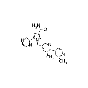 Cc1cc(-c2ncc(Cn3nc(C(N)=O)cc3-c3cnccn3)cc2C)ccn1